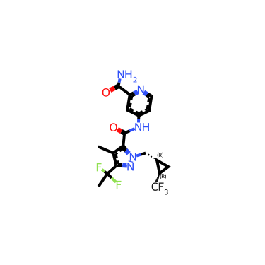 Cc1c(C(C)(F)F)nn(C[C@@H]2C[C@H]2C(F)(F)F)c1C(=O)Nc1ccnc(C(N)=O)c1